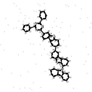 c1ccc(-c2nc(-c3ccccc3)nc(-c3ccc4c(c3)oc3ccc(-c5ccc6sc7c(-n8c9ccccc9c9ccccc98)cccc7c6c5)cc34)n2)cc1